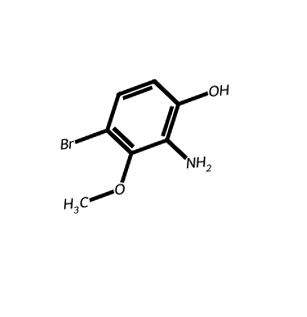 COc1c(Br)ccc(O)c1N